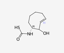 O=C(S)N[C@@H]1CCCC/C=C/C1O